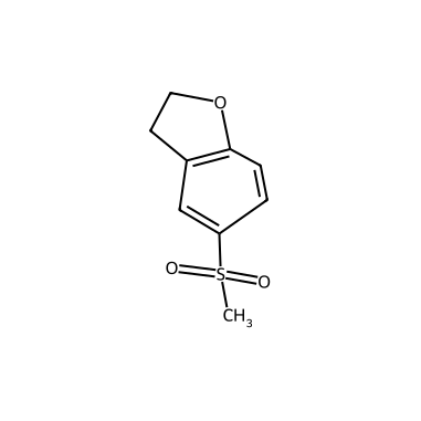 CS(=O)(=O)c1ccc2c(c1)CCO2